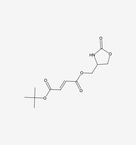 CC(C)(C)OC(=O)/C=C/C(=O)OCC1COC(=O)N1